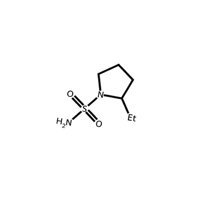 CCC1CCCN1S(N)(=O)=O